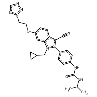 CC(C)NC(=O)Nc1ccc(-c2c(C#N)c3ccc(OCCn4ncnn4)cc3n2CC2CC2)cc1